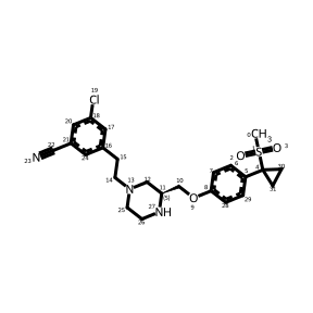 CS(=O)(=O)C1(c2ccc(OC[C@@H]3CN(CCc4cc(Cl)cc(C#N)c4)CCN3)cc2)CC1